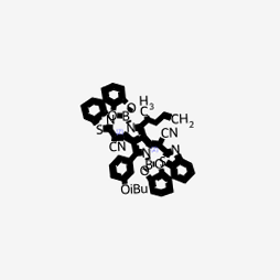 C=CCC(C)c1c2/c(=C(\C#N)c3nc4ccccc4s3)n(B3Oc4ccccc4O3)c(-c3cccc(OCC(C)C)c3)c2/c(=C(\C#N)c2nc3ccccc3s2)n1B1Oc2ccccc2O1